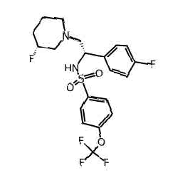 O=S(=O)(N[C@H](CN1CCC[C@@H](F)C1)c1ccc(F)cc1)c1ccc(OC(F)(F)F)cc1